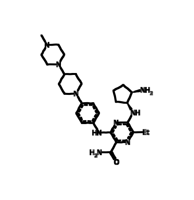 CCc1nc(C(N)=O)c(Nc2ccc(N3CCC(N4CCN(C)CC4)CC3)cc2)nc1N[C@H]1CCC[C@H]1N